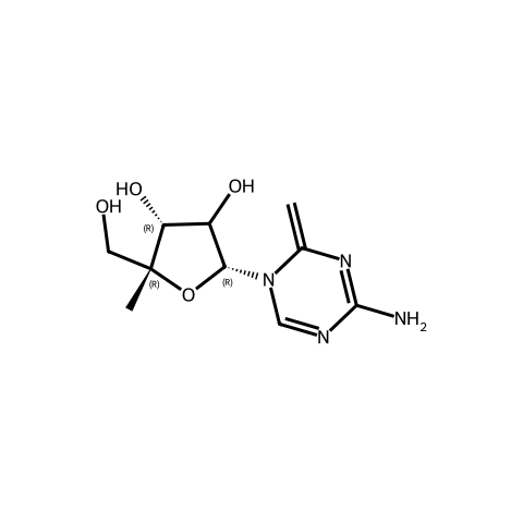 C=C1N=C(N)N=CN1[C@@H]1O[C@](C)(CO)[C@H](O)C1O